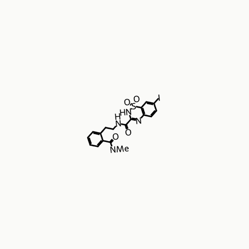 CNC(=O)c1ccccc1CCNC(=O)C1=Nc2ccc(I)cc2S(=O)(=O)N1